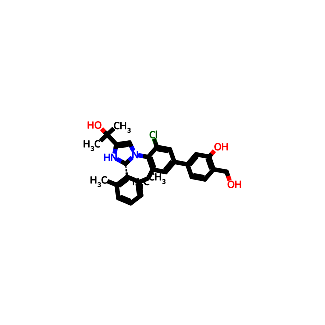 Cc1cccc(C)c1[C@@H]1NC(C(C)(C)O)=CN1c1c(C)cc(-c2ccc(CO)c(O)c2)cc1Cl